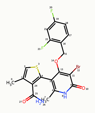 Cc1csc(-c2c(C)[nH]c(=O)c(Br)c2OCc2ccc(F)cc2F)c1C(N)=O